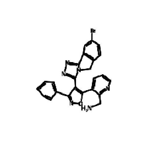 NCc1ncccc1-c1onc(-c2ccccc2)c1-c1nnc2n1Cc1ccc(Br)cc1-2